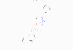 COc1cccc(-c2ccc(=O)n(C(C)C(=O)Nc3ccc4[nH]ccc4c3)n2)c1